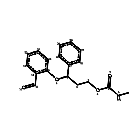 CNC(=O)OCCC(Oc1ccccc1C=O)c1ccccc1